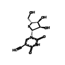 C#Cc1cn([C@@H]2S[C@H](CO)[C@@H](O)[C@H]2O)c(=O)[nH]c1=O